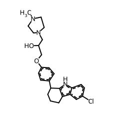 CN1CCN(CC(O)COc2ccc(C3CCCc4c3[nH]c3ccc(Cl)cc43)cc2)CC1